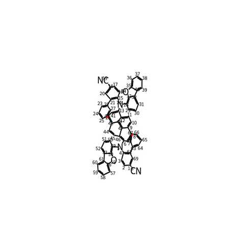 N#Cc1ccc(N(c2ccc3ccc4c(N(c5ccc(C#N)cc5-c5ccccc5)c5cccc6c5oc5ccccc56)ccc5ccc2c3c54)c2cccc3c2oc2ccccc23)c(-c2ccccc2)c1